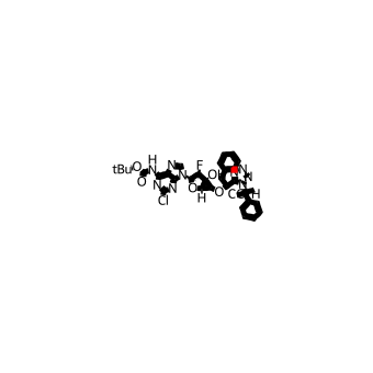 CC(C)(C)OC(=O)Nc1nc(Cl)nc2c1ncn2[C@@H]1O[C@@H]2C(OC(Cc3ccccc3)(C(=O)O)c3nnnn3C(C)(C)c3ccccc3)[C@]2(O)[C@@H]1F